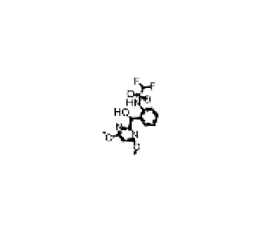 COc1cc(OC)nc(C(O)c2ccccc2NS(=O)(=O)C(F)F)n1